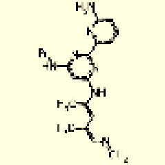 C=N/C=C(\C=C(/C)Nc1cc(NC(C)C)nc(-c2cccc(N)n2)n1)C(F)(F)F